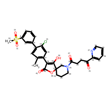 Cc1cc(-c2cccc(S(C)(=O)=O)c2)c(Cl)cc1C1=C(O)C2(CCCN(C(=O)CCC(=O)c3ccccn3)C2)OC1=O